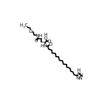 CCCOCCNC(=O)CC[C@H](NC(=O)CCCCCCCCCCCCCCCc1nnn[nH]1)C(=O)O